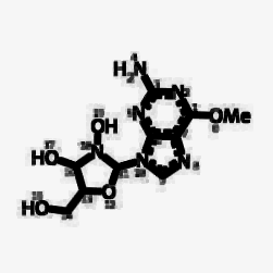 COc1nc(N)nc2c1ncn2C1OC(CO)C(O)N1O